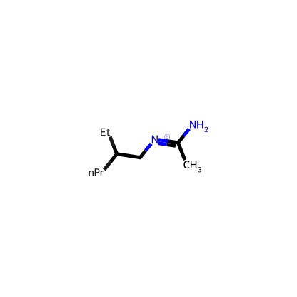 CCCC(CC)C/N=C(\C)N